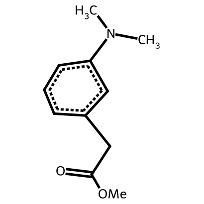 COC(=O)Cc1cccc(N(C)C)c1